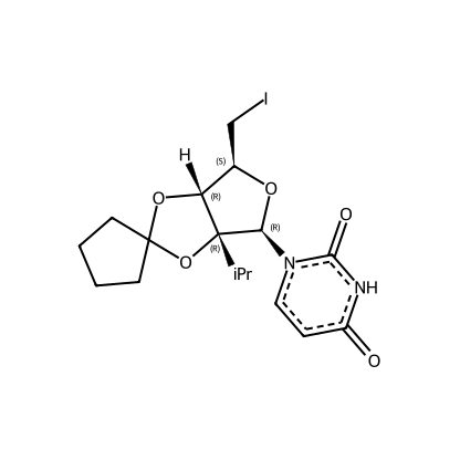 CC(C)[C@@]12OC3(CCCC3)O[C@@H]1[C@@H](CI)O[C@H]2n1ccc(=O)[nH]c1=O